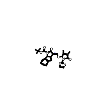 CC1=C(C)C(O/C=C2/C(=O)N(C(=O)OC(C)(C)C)C3c4ccccc4CC23)N(c2nccs2)C1=O